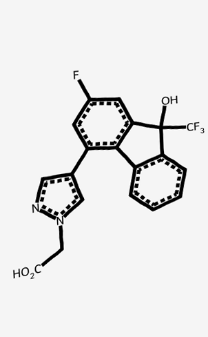 O=C(O)Cn1cc(-c2cc(F)cc3c2-c2ccccc2C3(O)C(F)(F)F)cn1